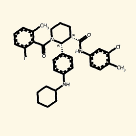 Cc1ccc(NC(=O)[C@H]2CCCN(C(=O)c3c(C)cccc3F)[C@H]2c2ccc(NC3CCCCC3)cc2)cc1Cl